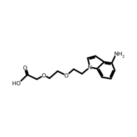 Nc1cccc2c1ccn2CCOCCOCC(=O)O